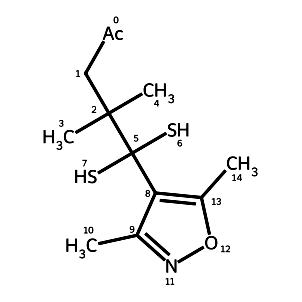 CC(=O)CC(C)(C)C(S)(S)c1c(C)noc1C